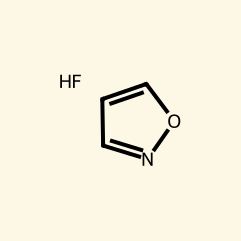 F.c1cnoc1